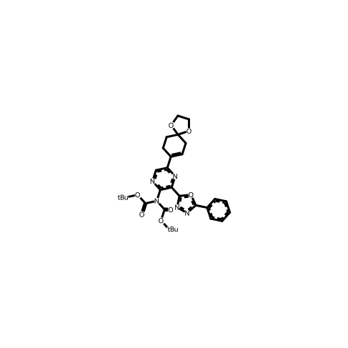 CC(C)(C)OC(=O)N(C(=O)OC(C)(C)C)c1ncc(C2=CCC3(CC2)OCCO3)nc1-c1nnc(-c2ccccc2)o1